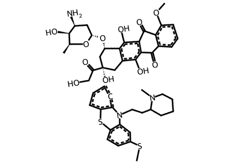 COc1cccc2c1C(=O)c1c(O)c3c(c(O)c1C2=O)C[C@@](O)(C(=O)CO)C[C@@H]3O[C@H]1C[C@H](N)[C@H](O)[C@H](C)O1.CSc1ccc2c(c1)N(CCC1CCCCN1C)c1ccccc1S2